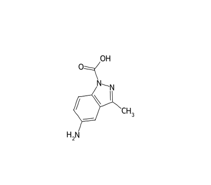 Cc1nn(C(=O)O)c2ccc(N)cc12